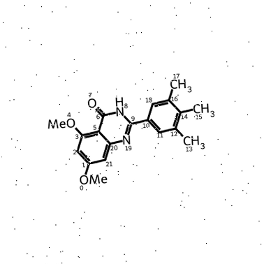 COc1cc(OC)c2c(=O)[nH]c(-c3cc(C)c(C)c(C)c3)nc2c1